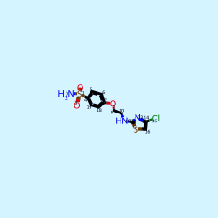 NS(=O)(=O)c1ccc(OCCNc2nc(Cl)cs2)cc1